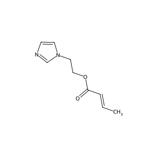 CC=CC(=O)OCCn1ccnc1